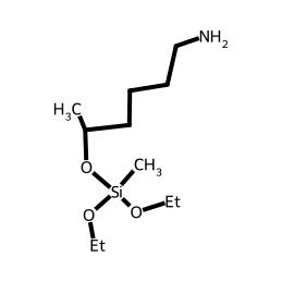 CCO[Si](C)(OCC)OC(C)CCCCN